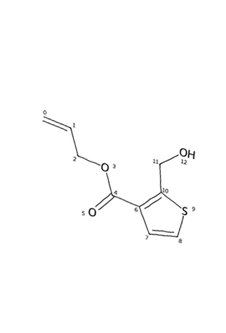 C=CCOC(=O)c1ccsc1CO